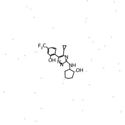 Oc1cc(C(F)(F)F)ccc1-c1nnc(N[C@@H]2CCCC[C@H]2O)nc1C1CC1